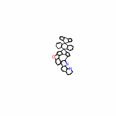 C1=CC2=C(CC1)C1(c3ccccc3C23c2ccccc2-c2ccccc23)c2cccc(-c3ccc4ccc5cccnc5c4n3)c2-c2c1ccc1oc3ccccc3c21